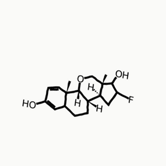 C[C@]12C=CC(O)=CC1CC[C@@H]1[C@H]2OC[C@]2(C)C(O)C(F)C[C@@H]12